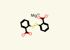 O=C([O-])c1ccccc1SSc1ccccc1C(=O)[O-].[Mg+2]